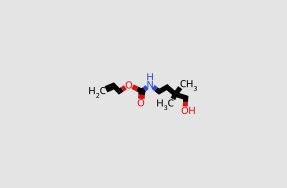 C=CCOC(=O)NCCC(C)(C)CO